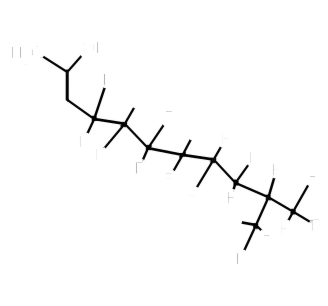 [CH2]C(O)CC(F)(F)C(F)(F)C(F)(F)C(F)(F)C(F)(F)C(F)(F)C(F)(C(F)(F)F)C(F)(F)F